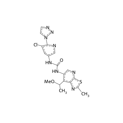 COC(C)c1c(NC(=O)Nc2cnc(-n3ccnn3)c(Cl)c2)cnc2sc(C)nc12